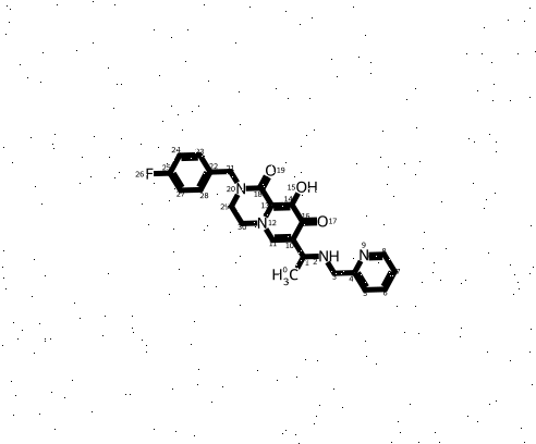 CC(NCc1ccccn1)c1cn2c(c(O)c1=O)C(=O)N(Cc1ccc(F)cc1)CC2